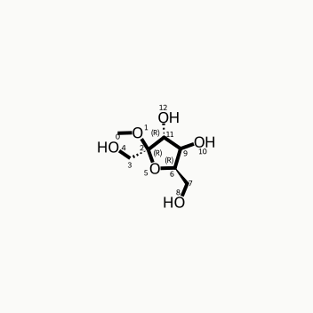 CO[C@]1(CO)O[C@H](CO)C(O)[C@H]1O